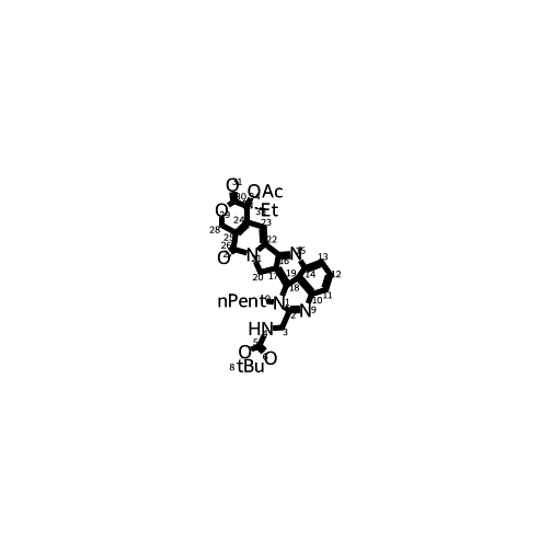 CCCCCN1C(CNC(=O)OC(C)(C)C)=Nc2cccc3nc4c(c1c23)Cn1c-4cc2c(c1=O)COC(=O)[C@@]2(CC)OC(C)=O